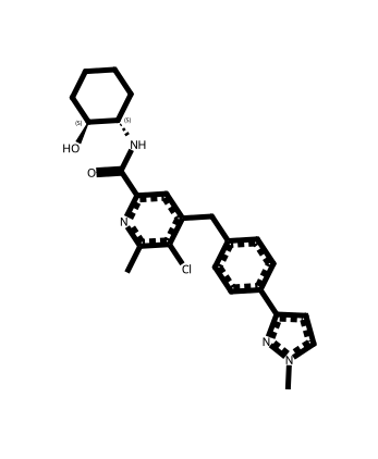 Cc1nc(C(=O)N[C@H]2CCCC[C@@H]2O)cc(Cc2ccc(-c3ccn(C)n3)cc2)c1Cl